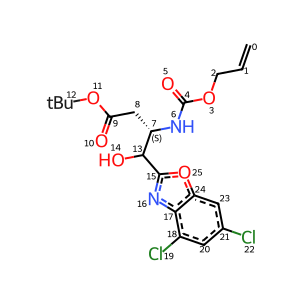 C=CCOC(=O)N[C@@H](CC(=O)OC(C)(C)C)C(O)c1nc2c(Cl)cc(Cl)cc2o1